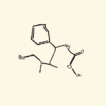 CCC(C)CN(C)C(C)C(NC(=O)OC(C)(C)C)c1ccccc1